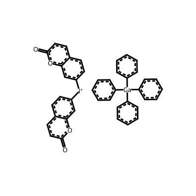 O=c1ccc2ccc([I+]c3ccc4ccc(=O)oc4c3)cc2o1.c1cc[c]([Ga-]([c]2ccccc2)([c]2ccccc2)[c]2ccccc2)cc1